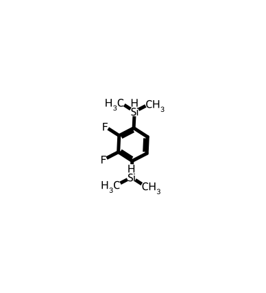 C[SiH](C)c1ccc([SiH](C)C)c(F)c1F